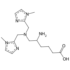 Cn1ccnc1CN(Cc1nccn1C)CC(N)CCCC(=O)O